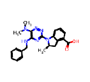 CC1Cc2c(C(=O)O)cccc2N1c1nnc(N(C)C)c(NCc2ccccc2)n1